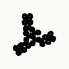 c1ccc(N(c2ccc3c(c2)c2ccccc2n3-c2ccc3c(c2)C2(c4ccccc4-c4ccccc42)c2ccccc2-3)c2cc(N(c3ccccc3)c3ccc4c(c3)c3ccccc3n4-c3ccc4c(c3)C3(c5ccccc5-c5ccccc53)c3ccccc3-4)nc(N(c3ccccc3)c3ccc4c(c3)c3ccccc3n4-c3ccc4c(c3)C3(c5ccccc5-c5ccccc53)c3ccccc3-4)n2)cc1